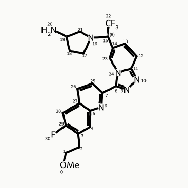 COCCc1cc2nc(-c3nnc4ccc([C@@H](N5CCC(N)C5)C(F)(F)F)cn34)ccc2cc1F